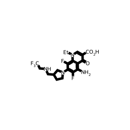 CCn1cc(C(=O)O)c(=O)c2c(N)c(F)c(N3CCC(CNCC(F)(F)F)C3)c(F)c21